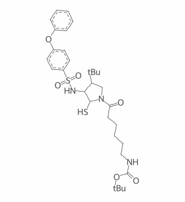 CC(C)(C)OC(=O)NCCCCCC(=O)N1CC(C(C)(C)C)C(NS(=O)(=O)c2ccc(Oc3ccccc3)cc2)C1S